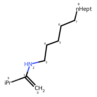 C=C(NCCCCCCCCCCCC)C(C)C